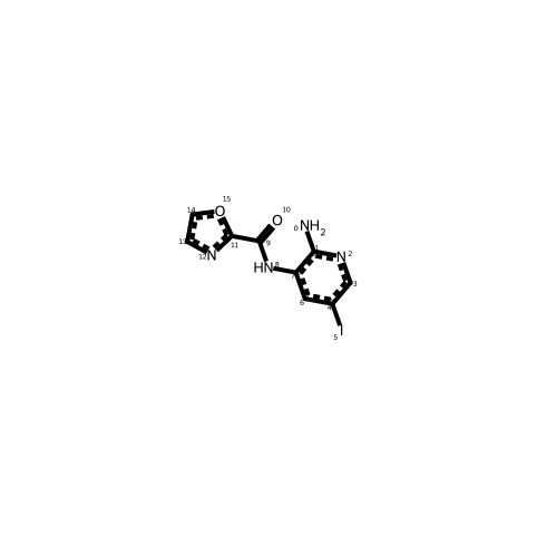 Nc1ncc(I)cc1NC(=O)c1ncco1